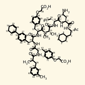 CC(=O)[C@H](CC1CCCCC1)NC(=O)[C@H](CCN)NC(=O)[C@@H](CC(C)C)NC(=O)[C@H](C)N(C)C(=O)[C@H](Cc1ccc(OCC(=O)O)cc1)NC(=O)[C@H](Cc1ccc(C2=CCCC=C2)cc1)NC(=O)[C@H](Cc1ccc(OCC(=O)O)cc1)NC(=O)C(C)Cc1cccc(C)c1